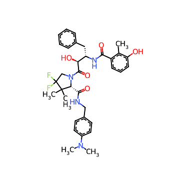 Cc1c(O)cccc1C(=O)N[C@@H](Cc1ccccc1)[C@H](O)C(=O)N1CC(F)(F)C(C)(C)[C@H]1C(=O)NCc1ccc(N(C)C)cc1